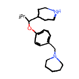 CC(C)C(Oc1ccc(CN2CCCCC2)cc1)C1CCNCC1